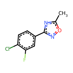 Cc1nc(-c2ccc(Cl)c(F)c2)no1